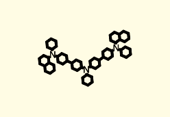 C1CCC(N(C2CCC(C3CCC(N(C4CCCCC4)C4CCCC5CCCCC54)CC3)CC2)C2CCC(C3CCC(N(C4CCCCC4)C4CCCC5CCCCC54)CC3)CC2)CC1